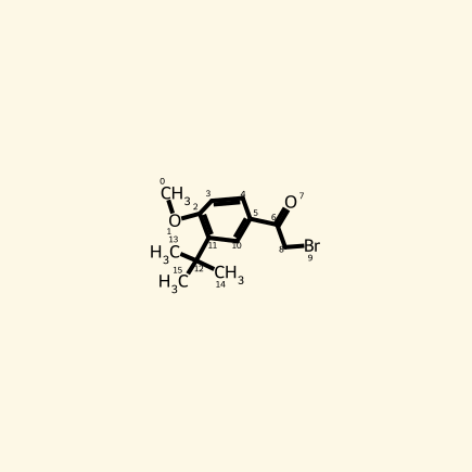 COc1ccc(C(=O)CBr)cc1C(C)(C)C